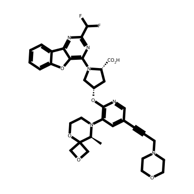 C[C@@H]1N(c2cc(C#CCN3CCOCC3)cnc2O[C@H]2C[C@@H](C(=O)O)N(c3nc(C(F)F)nc4c3oc3ccccc34)C2)CCOC12COC2